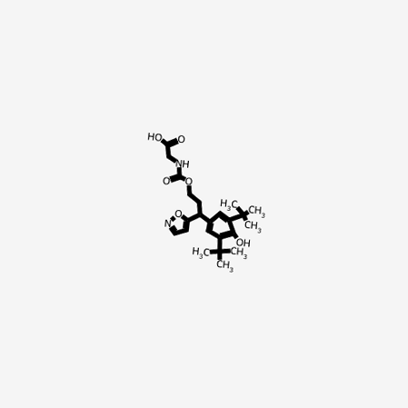 CC(C)(C)c1cc(C(CCOC(=O)NCC(=O)O)c2ccno2)cc(C(C)(C)C)c1O